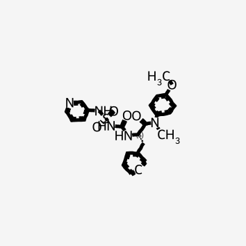 COc1ccc(N(C)C(=O)[C@H](Cc2ccccc2)NC(=O)NS(=O)(=O)Nc2cccnc2)cc1